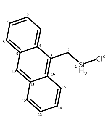 Cl[SiH2]Cc1c2ccccc2cc2ccccc12